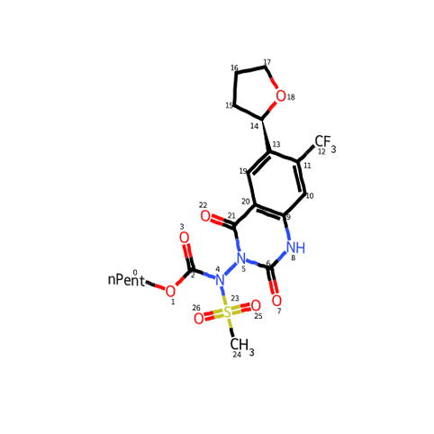 CCCCCOC(=O)N(n1c(=O)[nH]c2cc(C(F)(F)F)c([C@H]3CCCO3)cc2c1=O)S(C)(=O)=O